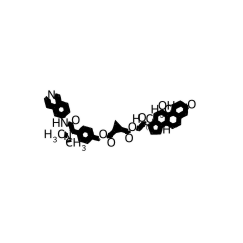 CN(C)C(C(=O)Nc1ccc2cnccc2c1)c1ccc(COC(=O)C2CC2C(=O)OCC(=O)[C@H]2CCC3[C@@H]4CCC5=CC(=O)C=C[C@]5(C)C4[C@@H](O)C[C@@]32C)cc1